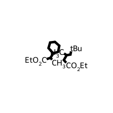 CCOC(=O)C(C)C1CCCCC1.CCOC(=O)CC(C)CC(C)(C)C